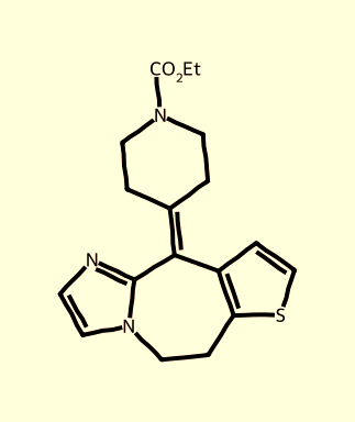 CCOC(=O)N1CCC(=C2c3ccsc3CCn3ccnc32)CC1